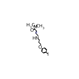 CN(C)C(=O)/C=C/CNCCCOc1ccc(I)cc1